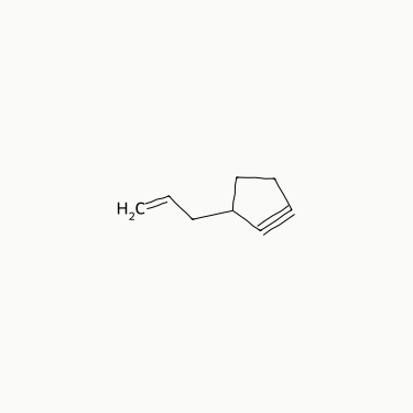 C=CCC1C#CCC1